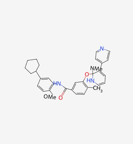 CNC1(Oc2cc(C(=O)Nc3cc(C4CCCCC4)ccc3OC)ccc2C)NC=CC=C1c1ccncc1